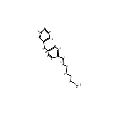 OCCSC/C=C/c1ccc(Cc2cccnc2)cc1